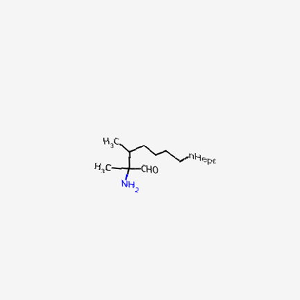 CCCCCCCCCCCC(C)C(C)(N)C=O